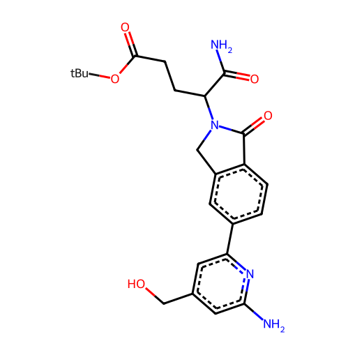 CC(C)(C)OC(=O)CCC(C(N)=O)N1Cc2cc(-c3cc(CO)cc(N)n3)ccc2C1=O